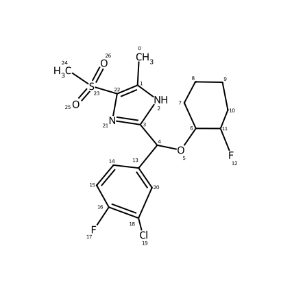 Cc1[nH]c(C(OC2CCCCC2F)c2ccc(F)c(Cl)c2)nc1S(C)(=O)=O